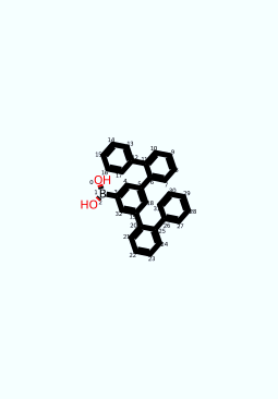 OB(O)c1cc(-c2ccccc2-c2ccccc2)cc(-c2ccccc2-c2ccccc2)c1